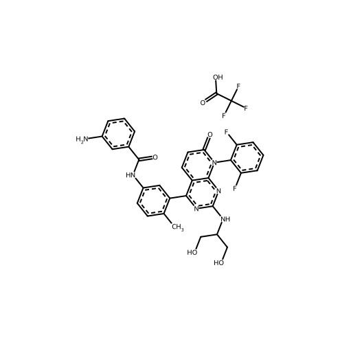 Cc1ccc(NC(=O)c2cccc(N)c2)cc1-c1nc(NC(CO)CO)nc2c1ccc(=O)n2-c1c(F)cccc1F.O=C(O)C(F)(F)F